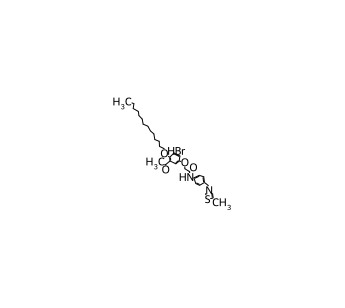 Br.CCCCCCCCCCCCCCOc1ccc(OCC(=O)Nc2ccc(CN3C=C(C)SC3)cc2)cc1C(C)=O